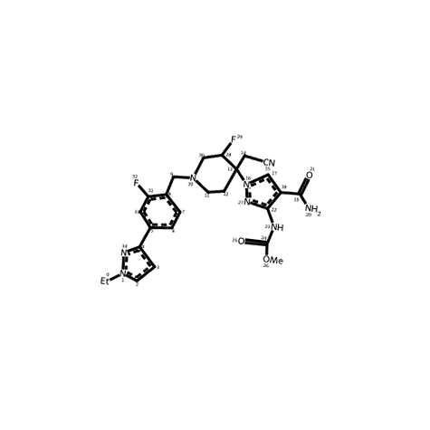 CCn1ccc(-c2ccc(CN3CCC(CC#N)(n4cc(C(N)=O)c(NC(=O)OC)n4)C(F)C3)c(F)c2)n1